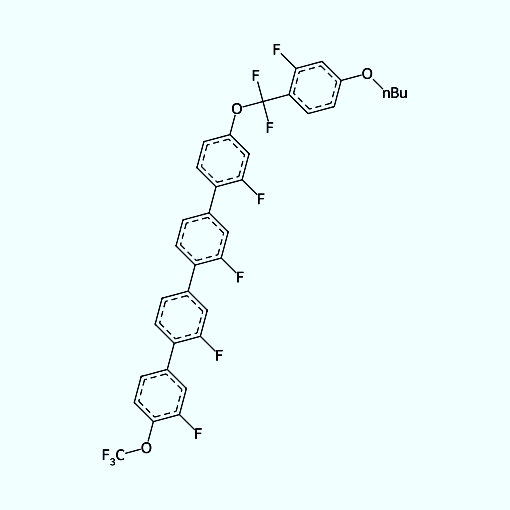 CCCCOc1ccc(C(F)(F)Oc2ccc(-c3ccc(-c4ccc(-c5ccc(OC(F)(F)F)c(F)c5)c(F)c4)c(F)c3)c(F)c2)c(F)c1